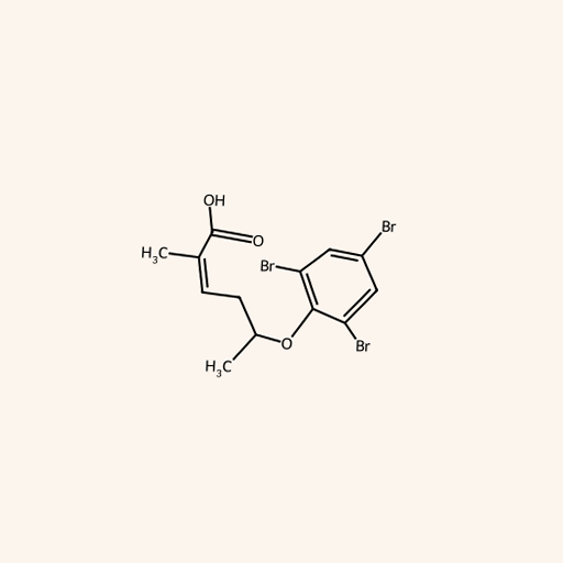 CC(=CCC(C)Oc1c(Br)cc(Br)cc1Br)C(=O)O